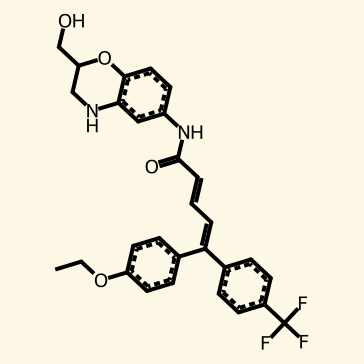 CCOc1ccc(/C(=C\C=C\C(=O)Nc2ccc3c(c2)NCC(CO)O3)c2ccc(C(F)(F)F)cc2)cc1